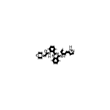 C=C/C(=C\C=C1/CC=NN1)Nc1nc(-c2ccccc2NC(=O)CN2CCOCC2)nc2ccccc12